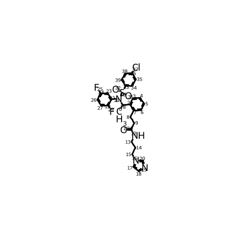 C[C@H](c1ccccc1CCC(=O)NCCCn1ccnc1)N(c1cc(F)ccc1F)S(=O)(=O)c1ccc(Cl)cc1